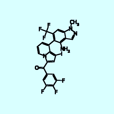 Cn1ncc2c(N)c(-c3cccn4c(C(=O)c5cc(F)c(F)c(F)c5)cc(I)c34)c(C(F)(F)F)cc21